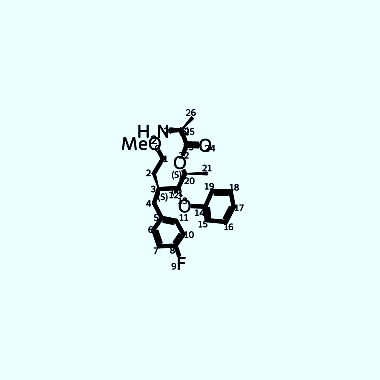 COCC[C@H](Cc1ccc(F)cc1)[C@@H](Oc1ccccc1)[C@H](C)OC(=O)[C@H](C)N